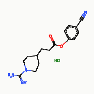 Cl.N#Cc1ccc(OC(=O)CCC2CCN(C(=N)N)CC2)cc1